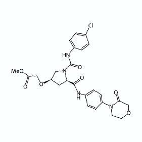 COC(=O)CO[C@@H]1C[C@H](C(=O)Nc2ccc(N3CCOCC3=O)cc2)N(C(=O)Nc2ccc(Cl)cc2)C1